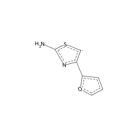 Nc1nc(-c2ccco2)[c]s1